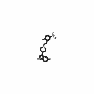 Cc1ccc([N+](=O)[O-])cc1CCN1CCC(c2c[nH]c3ccc(F)cc23)CC1